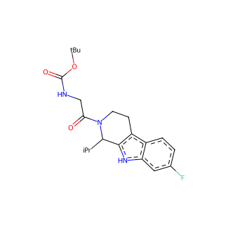 CC(C)C1c2[nH]c3cc(F)ccc3c2CCN1C(=O)CNC(=O)OC(C)(C)C